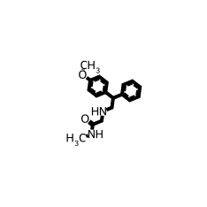 CNC(=O)CNCC(c1ccccc1)c1ccc(OC)cc1